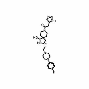 O=C(Cc1nnn[nH]1)N1CCC2(CC1)C[C@H](CCN1CCN(c3ccc(F)cc3)CC1)NC2O